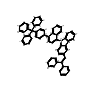 C(=C(c1ccccc1)c1ccccc1)c1ccc2c(c1)c1ccccc1n2-c1ccc(-c2ccc(C(c3ccccc3)(c3ccccc3)c3ccccc3)cc2)c2ccccc12